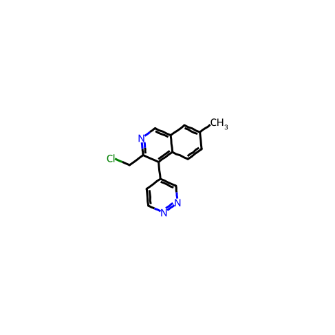 Cc1ccc2c(-c3ccnnc3)c(CCl)ncc2c1